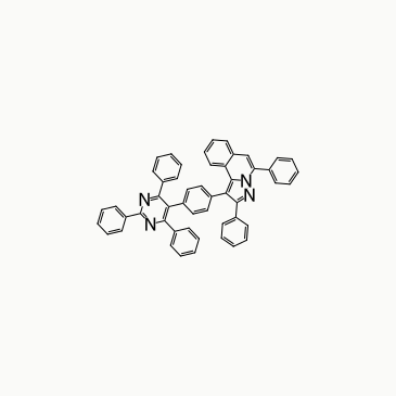 c1ccc(-c2nc(-c3ccccc3)c(-c3ccc(-c4c(-c5ccccc5)nn5c(-c6ccccc6)cc6ccccc6c45)cc3)c(-c3ccccc3)n2)cc1